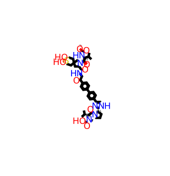 COC(=O)N[C@H](C(=O)N1CC2(CCS(O)(O)CC2)CC1C(=O)NCC(=O)c1ccc(-c2ccc(-c3c[nH]c([C@@H]4CCCN4C(=O)[C@H](C(C)C)N(C)C(=O)O)n3)cc2)cc1)C(C)C